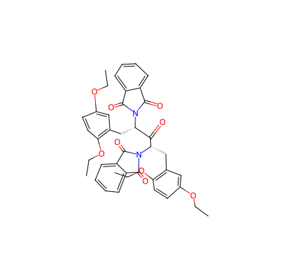 CCOc1ccc(OCC)c(C[C@@H](C(=O)[C@H](Cc2cc(OCC)ccc2OCC)N2C(=O)c3ccccc3C2=O)N2C(=O)c3ccccc3C2=O)c1